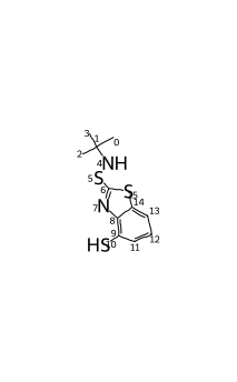 CC(C)(C)NSc1nc2c(S)cccc2s1